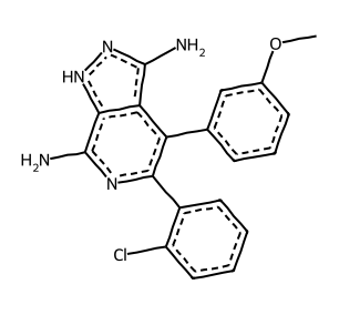 COc1cccc(-c2c(-c3ccccc3Cl)nc(N)c3[nH]nc(N)c23)c1